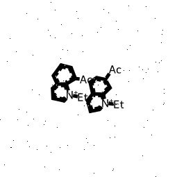 CC[n+]1cccc2ccc(C(C)=O)cc21.CC[n+]1cccc2cccc(C(C)=O)c21